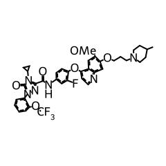 COc1cc2c(Oc3ccc(NC(=O)c4nn(-c5ccccc5OC(F)(F)F)c(=O)n4C4CC4)cc3F)ccnc2cc1OCCCN1CCC(C)CC1